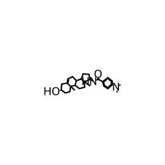 CN(C)c1ccc(C(=O)NC2CCC3C4CC=C5C[C@H](O)CCC5(C)C4CCC23C)cc1